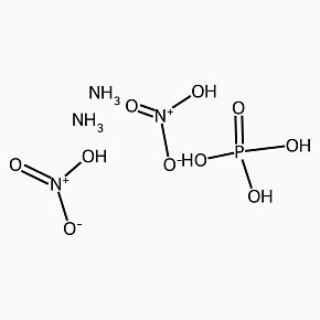 N.N.O=P(O)(O)O.O=[N+]([O-])O.O=[N+]([O-])O